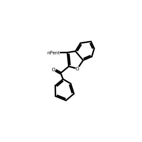 CCCCCc1c(C(=O)c2ccccc2)oc2ccccc12